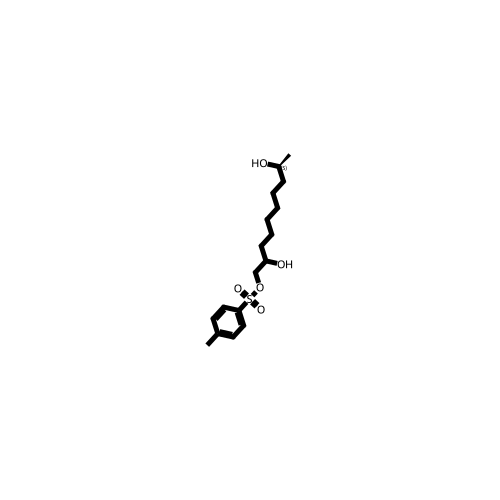 Cc1ccc(S(=O)(=O)OCC(O)CCCCCC[C@H](C)O)cc1